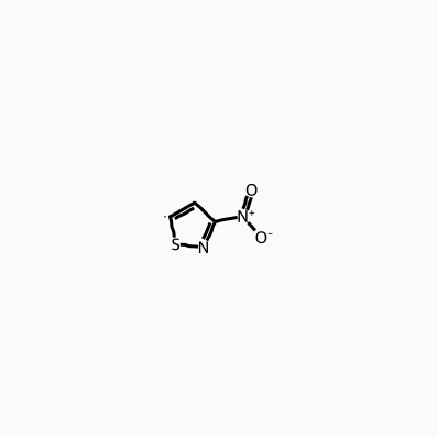 O=[N+]([O-])c1c[c]sn1